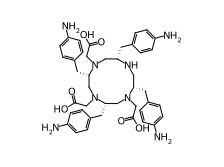 Nc1ccc(C[C@H]2CN(CC(=O)O)[C@@H](Cc3ccc(N)cc3)CN(CC(=O)O)[C@@H](Cc3ccc(N)cc3)CN(CC(=O)O)[C@@H](Cc3ccc(N)cc3)CN2)cc1